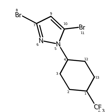 FC(F)(F)C1CCC(n2nc(Br)cc2Br)CC1